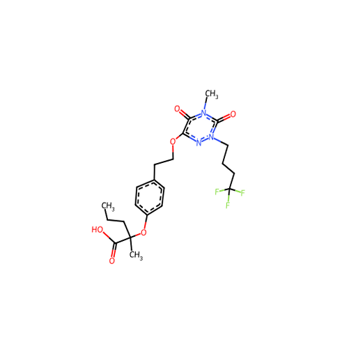 CCCC(C)(Oc1ccc(CCOc2nn(CCCC(F)(F)F)c(=O)n(C)c2=O)cc1)C(=O)O